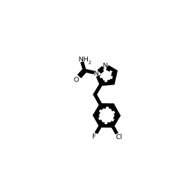 NC(=O)n1nccc1[CH]c1ccc(Cl)c(F)c1